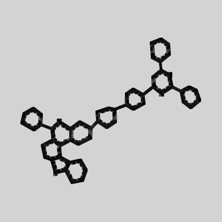 c1ccc(-c2cc(-c3ccc(-c4ccc(-c5ccc6c(c5)nc(-c5ccccc5)c5ccc7sc8ccccc8c7c56)cc4)cc3)nc(-c3ccccc3)n2)cc1